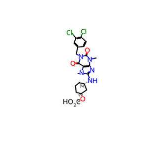 Cn1c(N[C@H]2CCC[C@@H](OC(=O)O)C2)nc2c1c(=O)n(Cc1ccc(Cl)c(Cl)c1)c(=O)n2C